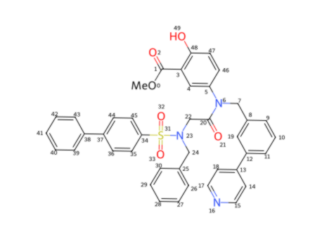 COC(=O)c1cc(N(Cc2cccc(-c3ccncc3)c2)C(=O)CN(Cc2ccccc2)S(=O)(=O)c2ccc(-c3ccccc3)cc2)ccc1O